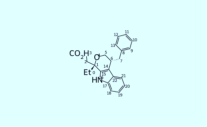 CC[C@@]1(CC(=O)O)OC[C@H](Cc2ccccc2)c2c1[nH]c1ccccc21